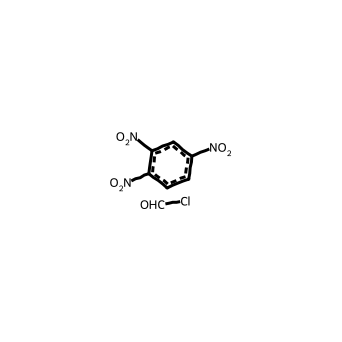 O=CCl.O=[N+]([O-])c1ccc([N+](=O)[O-])c([N+](=O)[O-])c1